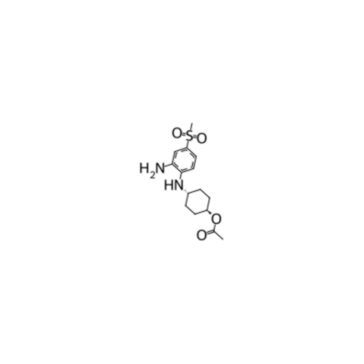 CC(=O)O[C@H]1CC[C@H](Nc2ccc(S(C)(=O)=O)cc2N)CC1